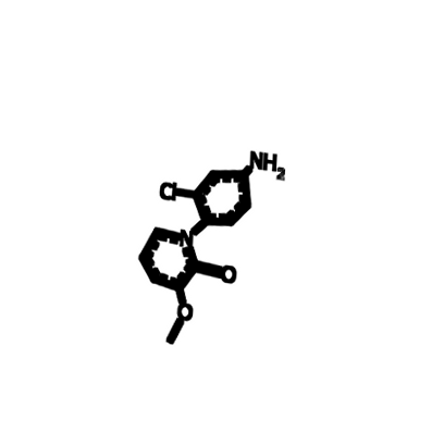 COc1cccn(-c2ccc(N)cc2Cl)c1=O